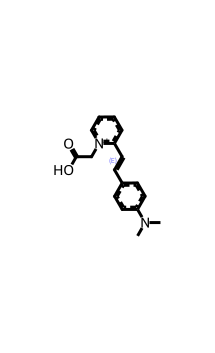 CN(C)c1ccc(/C=C/c2cccc[n+]2CC(=O)O)cc1